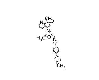 C[C@@H]1CN(c2cc(=O)n(C)c3ncccc23)C[C@H](CN2CC(c3ccc(N4CCN(C)CC4)cc3)C2)O1